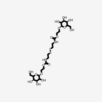 O=C(NCCSSCCNC(=O)OCCO[C@@H]1OC(CO)[C@H](O)[C@H](O)C1O)OCCO[C@@H]1OC(CO)[C@H](O)[C@H](O)C1O